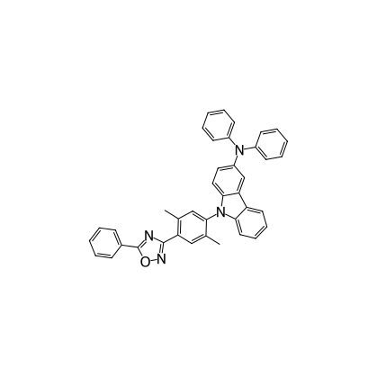 Cc1cc(-n2c3ccccc3c3cc(N(c4ccccc4)c4ccccc4)ccc32)c(C)cc1-c1noc(-c2ccccc2)n1